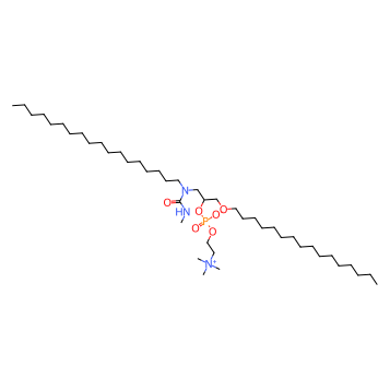 CCCCCCCCCCCCCCCCCCN(CC(COCCCCCCCCCCCCCCCC)OP(=O)([O-])OCC[N+](C)(C)C)C(=O)NC